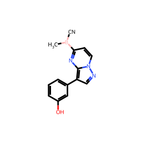 CB(C#N)c1ccn2ncc(-c3cccc(O)c3)c2n1